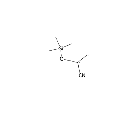 [CH2][C](C#N)O[Si](C)(C)C